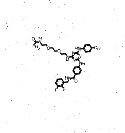 O=C(P)NCCOCCOCCNc1nc(Nc2ccc(O)cc2)nc(Nc2ccc(C(=O)NCc3cccc(F)c3F)cc2)n1